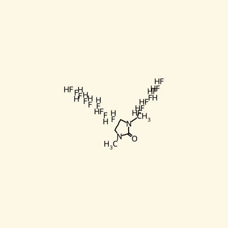 CN1CCN(C)C1=O.F.F.F.F.F.F.F.F.F.F.F.F.F.F.F.F